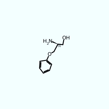 N[C@@H](CO)COc1ccccc1